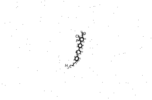 C=CCCc1ccc(C2CC=C(c3ccc(-c4ccc(C5CO5)c(Cl)c4F)cc3)CC2)cc1